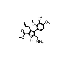 C=CCc1c(C(=O)OC)[nH]c(CN)c1-c1ccc(OC)c(OC)c1OC